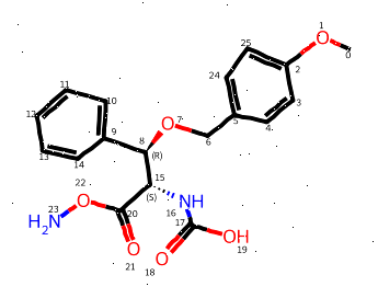 COc1ccc(CO[C@H](c2ccccc2)[C@H](NC(=O)O)C(=O)ON)cc1